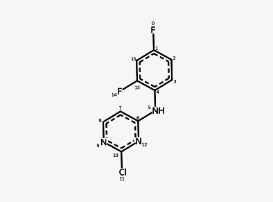 Fc1ccc(Nc2ccnc(Cl)n2)c(F)c1